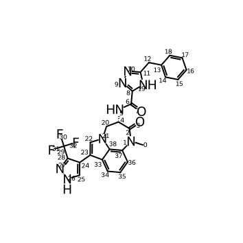 CN1C(=O)[C@@H](NC(=O)c2nnc(Cc3ccccc3)[nH]2)Cn2cc(-c3c[nH]nc3C(F)(F)F)c3cccc1c32